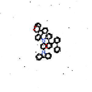 c1ccc(-c2ccccc2-c2ccccc2-c2ccccc2N(c2ccc(-n3c4ccccc4c4ccccc43)cc2)c2cccc3c2-c2ccccc2C32C3CCC4CC(C3)CC2C4)cc1